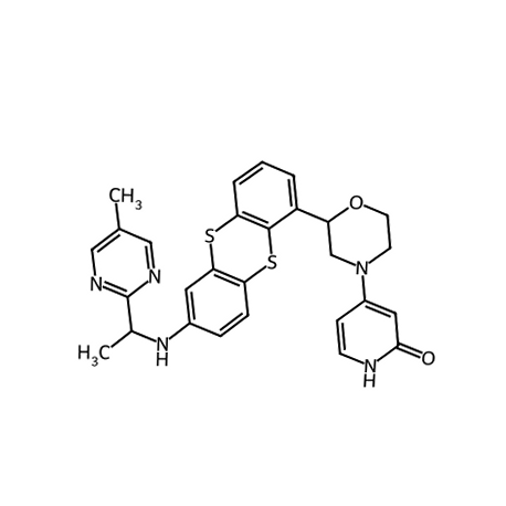 Cc1cnc(C(C)Nc2ccc3c(c2)Sc2cccc(C4CN(c5cc[nH]c(=O)c5)CCO4)c2S3)nc1